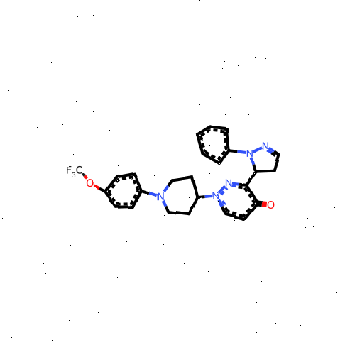 O=c1ccn(C2CCN(c3ccc(OC(F)(F)F)cc3)CC2)nc1C1CC=NN1c1ccccc1